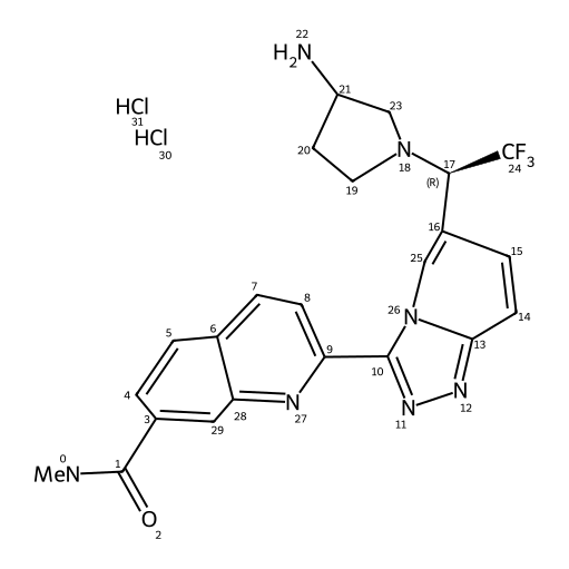 CNC(=O)c1ccc2ccc(-c3nnc4ccc([C@@H](N5CCC(N)C5)C(F)(F)F)cn34)nc2c1.Cl.Cl